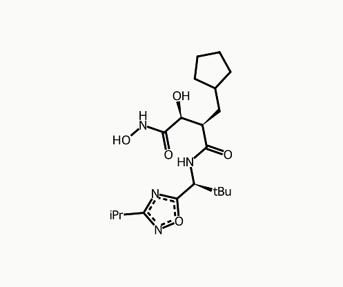 CC(C)c1noc([C@@H](NC(=O)[C@H](CC2CCCC2)[C@H](O)C(=O)NO)C(C)(C)C)n1